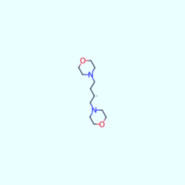 [CH](CCN1CCOCC1)CN1CCOCC1